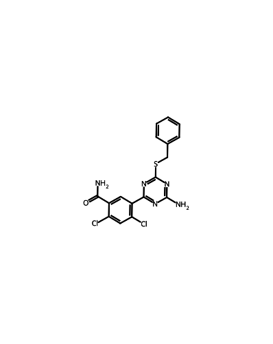 NC(=O)c1cc(-c2nc(N)nc(SCc3ccccc3)n2)c(Cl)cc1Cl